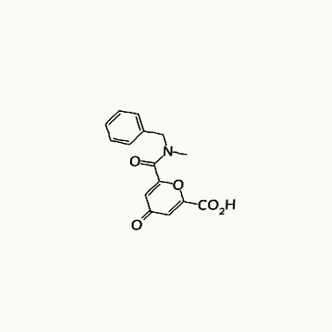 CN(Cc1ccccc1)C(=O)c1cc(=O)cc(C(=O)O)o1